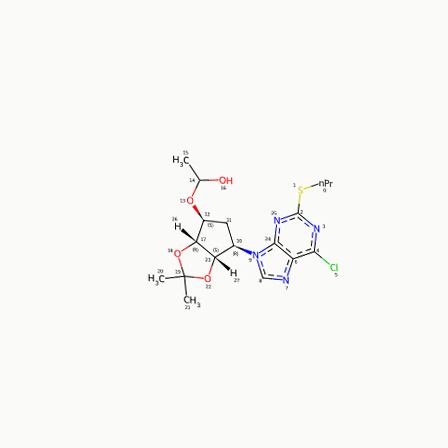 CCCSc1nc(Cl)c2ncn([C@@H]3C[C@H](OC(C)O)[C@H]4OC(C)(C)O[C@H]43)c2n1